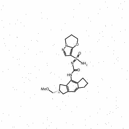 COC[C@H]1Cc2cc3c(c(NC(=O)N=S(N)(=O)c4cnn5c4OCCC5)c2C1)CCC3